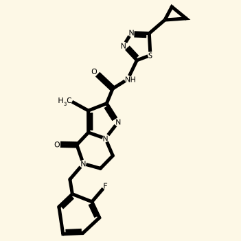 Cc1c(C(=O)Nc2nnc(C3CC3)s2)nn2c1C(=O)N(Cc1ccccc1F)CC2